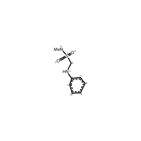 CNS(=O)(=O)CNc1c[c]ccc1